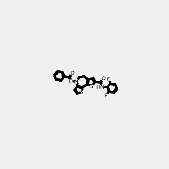 O=C(ON1CCc2cc(C(=O)Nc3c(F)cccc3F)sc2-c2sccc21)c1ccccc1